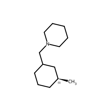 C[C@H]1CCCC(CN2CCCCC2)C1